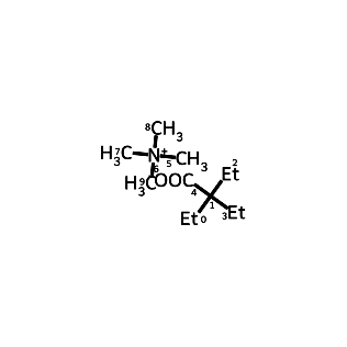 CCC(CC)(CC)C(=O)[O-].C[N+](C)(C)C